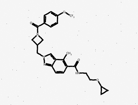 Cc1c(C(=O)NCCOC2CC2)ccc2nn(CC3CN(C(=O)c4ccc(OC(F)(F)F)cc4)C3)cc12